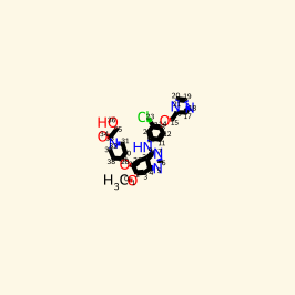 COc1cc2ncnc(Nc3ccc(OCc4cnccn4)c(Cl)c3)c2cc1OC1CCN(C(=O)CO)CC1